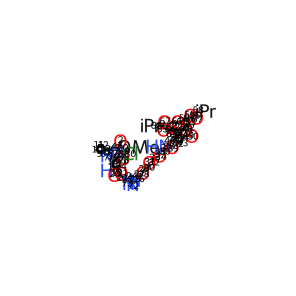 COC(=O)[C@H]1Cc2c([nH]c3ccccc23)[C@@H](c2ccc(C(=O)OCc3cn(CCOCCOCCOCCNC(=O)Cc4ccc5c(c4)C4(OC5=O)c5ccc(OC(=O)C(C)C)cc5Oc5cc(OC(=O)C(C)C)ccc54)nn3)cc2)N1C(=O)CCl